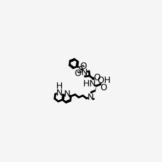 CN(CCCCc1ccc2c(n1)NCCC2)CC[C@H](NC(=O)C1CN(S(=O)(=O)c2ccccc2)C1)C(=O)O